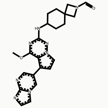 COc1nc(NC2CCC3(CC2)CN(C=O)C3)nn2ccc(-c3cnc4nccn4c3)c12